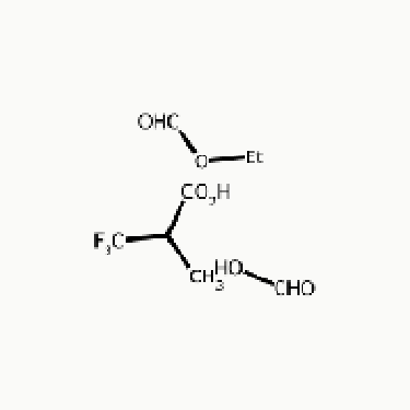 CC(C(=O)O)C(F)(F)F.CCOC=O.O=CO